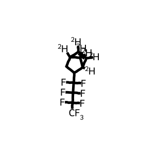 [2H]C1=C([2H])C2([2H])C(C(F)(F)C(F)(F)C(F)(F)C(F)(F)F)CC1([2H])C2([2H])[2H]